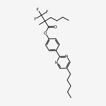 CCCCCc1cnc(-c2ccc(OC(=O)C(C)(CCCC)C(F)(F)F)cc2)nc1